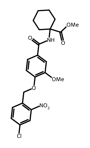 COC(=O)C1(NC(=O)c2ccc(OCc3ccc(Cl)cc3[N+](=O)[O-])c(OC)c2)CCCCC1